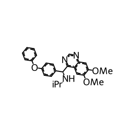 COc1cc2ncnc([C@@H](NC(C)C)c3ccc(Oc4ccccc4)cc3)c2cc1OC